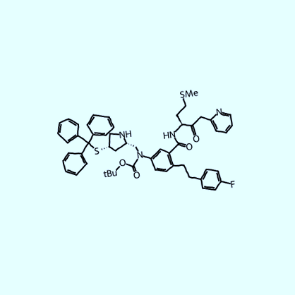 CSCC[C@H](NC(=O)c1cc(N(C[C@@H]2C[C@H](SC(c3ccccc3)(c3ccccc3)c3ccccc3)CN2)C(=O)OC(C)(C)C)ccc1CCc1ccc(F)cc1)C(=O)Cc1ccccn1